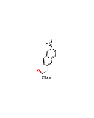 COC(=O)Cc1ccc2cc([Si](C)(C)C)ccc2c1